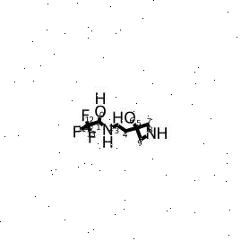 OC(NCCC1(O)CNC1)C(F)(F)F